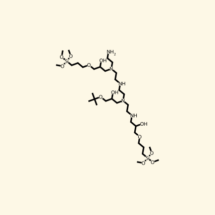 CO[Si](CCCOCC(O)CNCCN(CCNCCN(CCN)CC(O)COCCC[Si](OC)(OC)OC)CC(O)COC(C)(C)C)(OC)OC